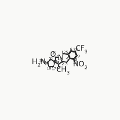 CC1C2Cc3c(cc(C(F)(F)F)cc3[N+](=O)[O-])CN2C(=O)[C@]12CC[C@@H](N)C2